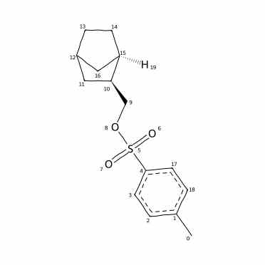 Cc1ccc(S(=O)(=O)OC[C@H]2CC3CC[C@@H]2C3)cc1